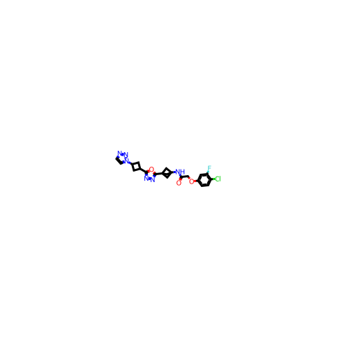 O=C(COc1ccc(Cl)c(F)c1)NC12CC(c3nnc(C4CC(n5ccnn5)C4)o3)(C1)C2